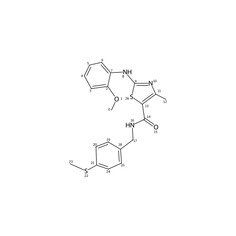 COc1ccccc1Nc1nc(C)c(C(=O)NCc2ccc(SC)cc2)s1